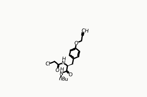 C#CCOc1ccc(C[C@H](NC(=O)CCl)C(=O)NCCCC)cc1